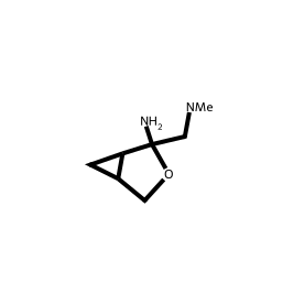 CNCC1(N)OCC2CC21